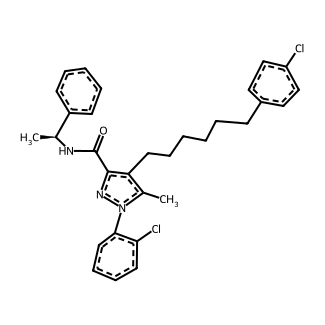 Cc1c(CCCCCCc2ccc(Cl)cc2)c(C(=O)N[C@@H](C)c2ccccc2)nn1-c1ccccc1Cl